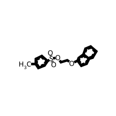 Cc1ccc(S(=O)(=O)OCCOc2ccc3ccccc3c2)cc1